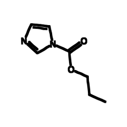 CCCOC(=O)n1ccnc1